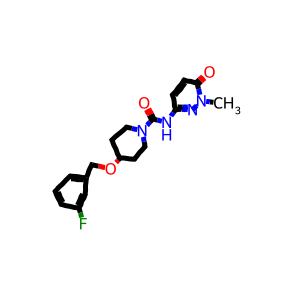 Cn1nc(NC(=O)N2CCC(OCc3cccc(F)c3)CC2)ccc1=O